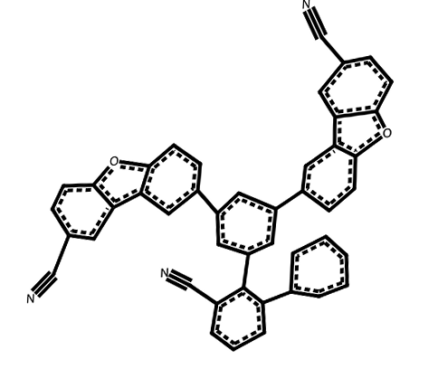 N#Cc1ccc2oc3ccc(-c4cc(-c5ccc6oc7ccc(C#N)cc7c6c5)cc(-c5c(C#N)cccc5-c5ccccc5)c4)cc3c2c1